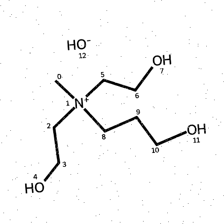 C[N+](CCO)(CCO)CCCO.[OH-]